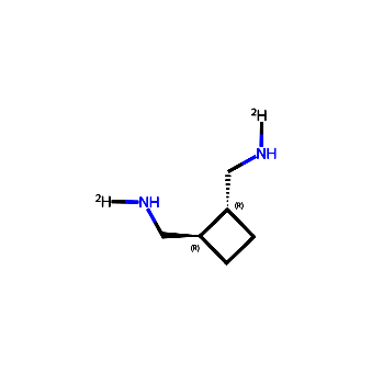 [2H]NC[C@@H]1CC[C@H]1CN[2H]